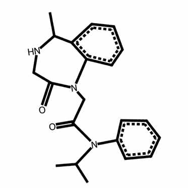 CC1NCC(=O)N(CC(=O)N(c2ccccc2)C(C)C)c2ccccc21